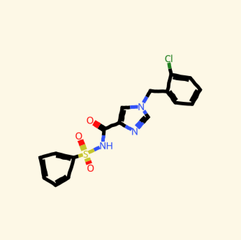 O=C(NS(=O)(=O)c1ccccc1)c1cn(Cc2ccccc2Cl)cn1